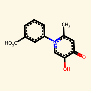 Cc1cc(=O)c(O)cn1-c1cccc(C(=O)O)c1